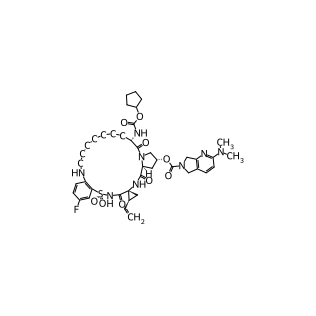 C=C[C@@H]1C[C@@]12NC(=O)[C@@H]1C[C@@H](OC(=O)N3Cc4ccc(N(C)C)nc4C3)CN1C(=O)[C@@H](NC(=O)OC1CCCC1)CCCCCCCNc1ccc(F)cc1S(=O)(=O)NC2=O